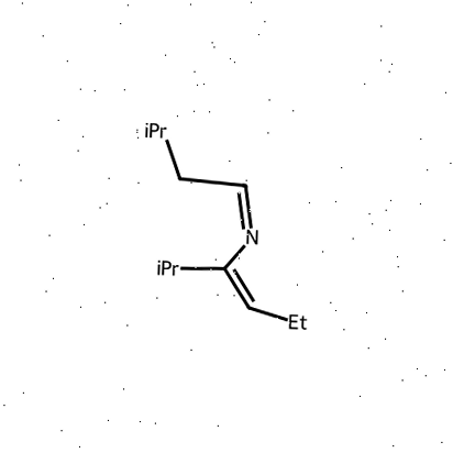 CC/C=C(\N=C/CC(C)C)C(C)C